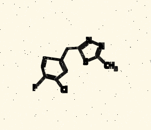 Cc1nnc(Cc2ccc(F)c(Cl)c2)s1